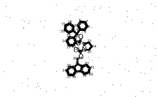 O=C(OC(c1ccccc1)(c1ccccc1)c1ccccc1)[C@@H]1CCCN1C(=O)OCC1c2ccccc2-c2ccccc21